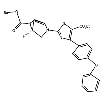 CCOC(=O)c1sc(N2C[C@@H]3CC2=CN3C(=O)OC(C)(C)C)nc1-c1ccc(Oc2ccccc2)cc1